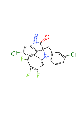 O=C1Nc2cc(Cl)ccc2C1(Cc1cccc(Cl)c1)Nc1cc(F)c(F)c(F)c1